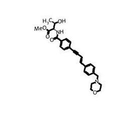 COC(=O)[C@@H](NC(=O)c1ccc(C#CC=Cc2ccc(CN3CCOCC3)cc2)cc1)[C@@H](C)O